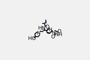 C/C=C(\C)C(=O)N[C@H](CCN1CCC(O)CC1)c1ccc(N2CC(=O)NC2=O)nc1